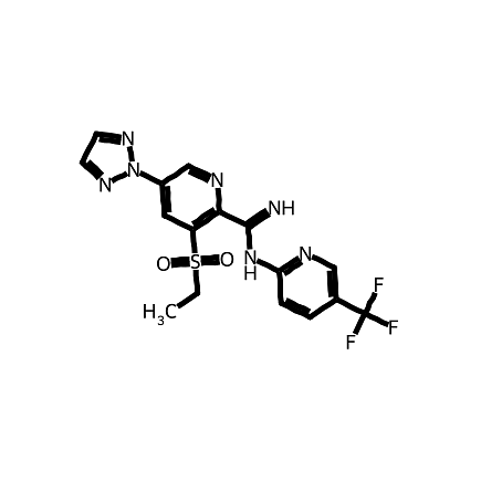 CCS(=O)(=O)c1cc(-n2nccn2)cnc1C(=N)Nc1ccc(C(F)(F)F)cn1